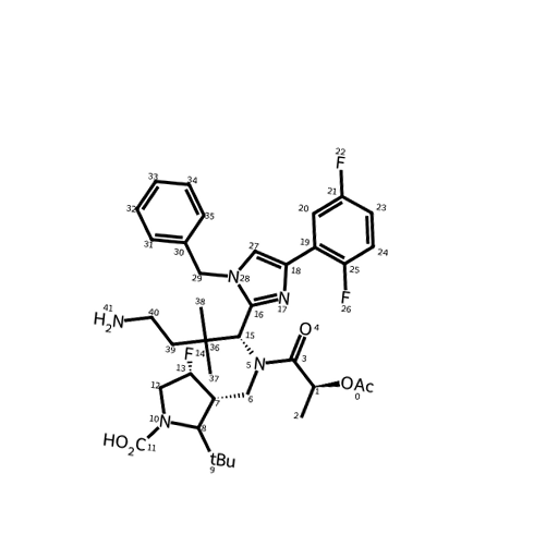 CC(=O)O[C@@H](C)C(=O)N(C[C@@H]1C(C(C)(C)C)N(C(=O)O)C[C@@H]1F)[C@@H](c1nc(-c2cc(F)ccc2F)cn1Cc1ccccc1)C(C)(C)CCN